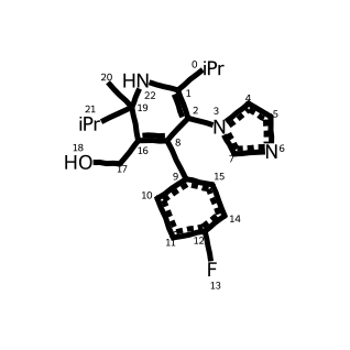 CC(C)C1=C(n2ccnc2)C(c2ccc(F)cc2)=C(CO)C(C)(C(C)C)N1